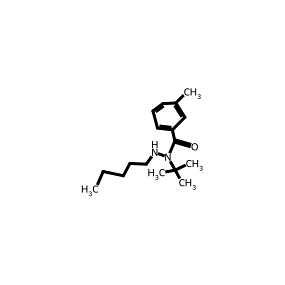 CCCCCNN(C(=O)c1cccc(C)c1)C(C)(C)C